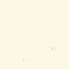 Cc1[nH]ccc1CC#N